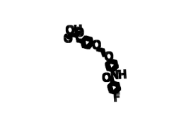 CO[C@@H](Cc1ccc(OCCCOc2ccc(NC(=O)c3ccc(F)cc3)cc2)cc1)C(=O)O